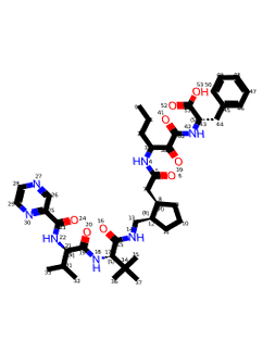 CCCC(NC(=O)C[C@H]1CCC[C@H]1CNC(=O)[C@@H](NC(=O)[C@H](NC(=O)c1cnccn1)C(C)C)C(C)(C)C)C(=O)C(=O)N[C@@H](Cc1ccccc1)C(=O)O